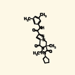 CCN1C(=O)c2cc(C(=O)Nc3cc(C)cc(C)c3)nn2CC1(C)C(=O)NC1CCCC1